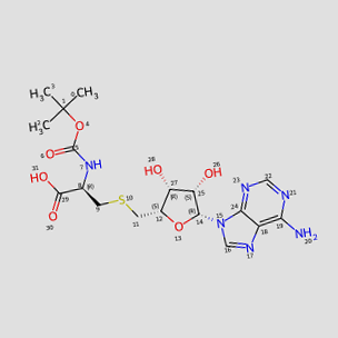 CC(C)(C)OC(=O)N[C@@H](CSC[C@H]1O[C@@H](n2cnc3c(N)ncnc32)[C@@H](O)[C@H]1O)C(=O)O